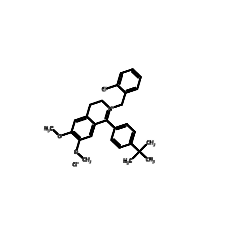 COc1cc2c(cc1OC)C(c1ccc(C(C)(C)C)cc1)=[N+](Cc1ccccc1Cl)CC2.[Cl-]